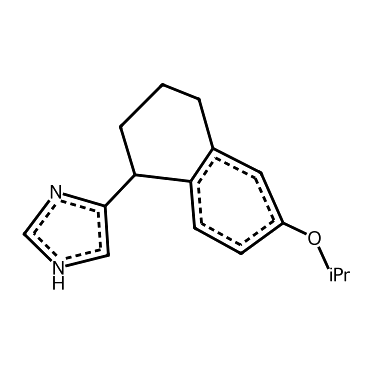 CC(C)Oc1ccc2c(c1)CCCC2c1c[nH]cn1